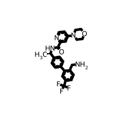 C[C@@H](NC(=O)c1cc(N2CCOCC2)ccn1)c1ccc(-c2cc(C(F)(F)F)ccc2CN)cc1